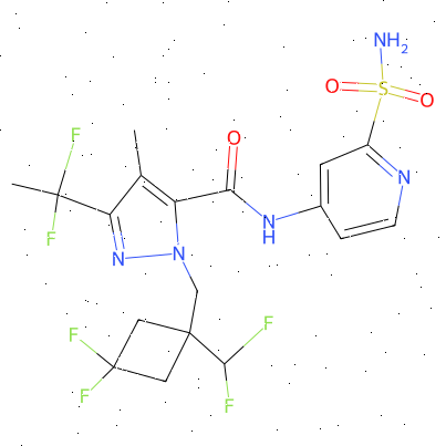 Cc1c(C(C)(F)F)nn(CC2(C(F)F)CC(F)(F)C2)c1C(=O)Nc1ccnc(S(N)(=O)=O)c1